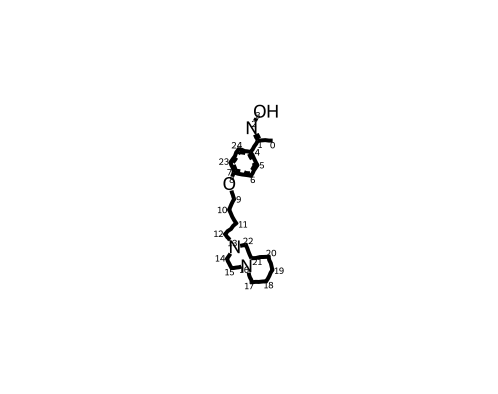 CC(=NO)c1ccc(OCCCCN2CCN3CCCCC3C2)cc1